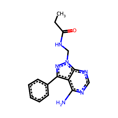 CCC(=O)NCn1nc(-c2ccccc2)c2c(N)ncnc21